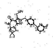 CC(C)Sc1c2c(nn1Cc1ccc(-c3cccc(F)n3)cc1)N1CC(C)(C)N=C1N(C)C2=O